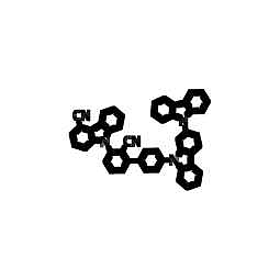 N#Cc1c(-c2ccc(-n3c4ccccc4c4ccc(-n5c6ccccc6c6ccccc65)cc43)cc2)cccc1-n1c2ccccc2c2c(C#N)cccc21